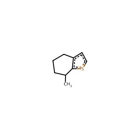 CC1CCCc2ccsc21